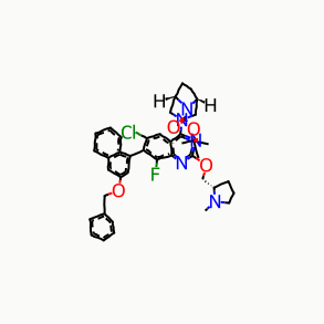 CN1CCC[C@H]1COc1nc(N2C[C@H]3CC[C@@H](C2)N3C(=O)OC(C)(C)C)c2cc(Cl)c(-c3cc(OCc4ccccc4)cc4ccccc34)c(F)c2n1